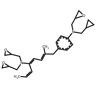 C\C=C/C(=C\C=C(/C)Cc1ccc(N(CC2CC2)CC2CO2)cc1)N(CC1CO1)CC1CO1